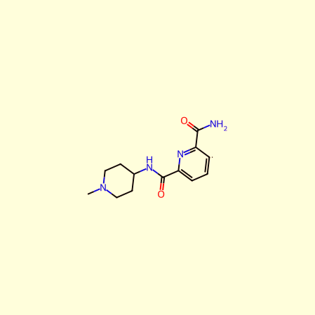 CN1CCC(NC(=O)c2cc[c]c(C(N)=O)n2)CC1